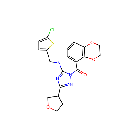 O=C(c1cccc2c1OCCO2)n1nc(C2CCOC2)nc1NCc1ccc(Cl)s1